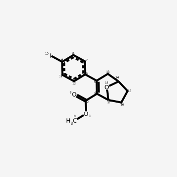 COC(=O)C1=C(c2ccc(I)cc2)CC2CCC1O2